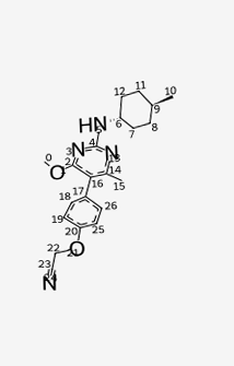 COc1nc(N[C@H]2CC[C@H](C)CC2)nc(C)c1-c1ccc(OCC#N)cc1